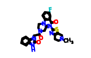 CN1CCc2nc(NC(=O)c3cc(F)ccc3N3CCN(C(=O)Cn4c(=O)[nH]c5ccccc54)CC3)sc2C1